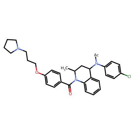 CC(=O)N(c1ccc(Cl)cc1)C1CC(C)N(C(=O)c2ccc(OCCCN3CCCC3)cc2)c2ccccc21